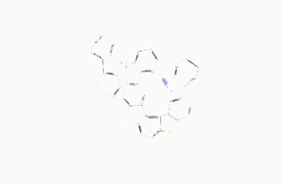 N#Cc1cccc(-n2c3c(c4ccccc42)CCC=C3)c1-c1ccc2oc3ccc4oc5ccc(-c6ccccc6)cc5c4c3c2c1